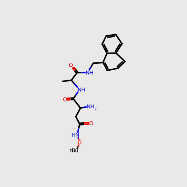 CC(NC(=O)C(N)CC(=O)NOC(C)(C)C)C(=O)NCc1cccc2ccccc12